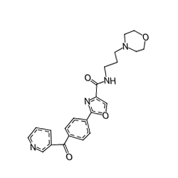 O=C(c1ccc(-c2nc(C(=O)NCCCN3CCOCC3)co2)cc1)c1cccnc1